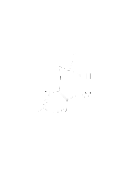 COc1ccc(Cl)nc1C1CC1(C)C